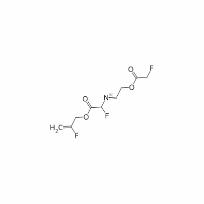 C=C(F)COC(=O)C(F)/N=C/COC(=O)CF